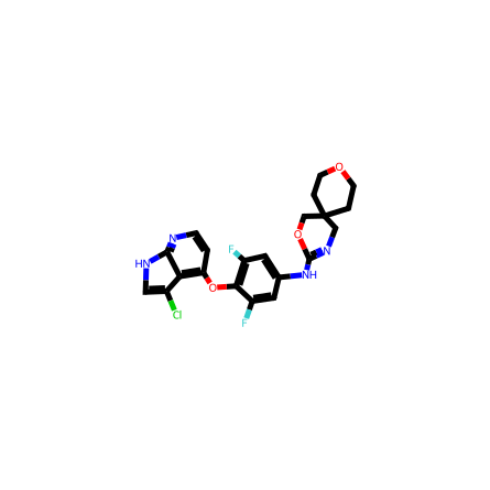 Fc1cc(NC2=NCC3(CCOCC3)CO2)cc(F)c1Oc1ccnc2[nH]cc(Cl)c12